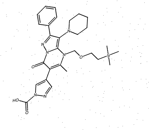 Cc1c(-c2cnn(C(=O)O)c2)c(=O)n2nc(-c3ccccc3)c(N3CCCCC3)c2n1COCC[Si](C)(C)C